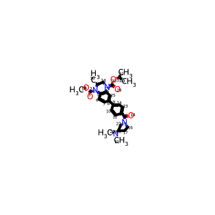 COC(=O)N1c2ccc(-c3ccc(C(=O)N4CC[C@@H](N(C)C)C4)cc3)cc2N(C(=O)OC(C)C)C[C@@H]1C